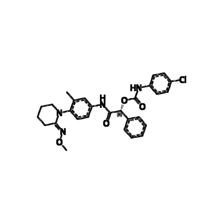 CON=C1CCCCN1c1ccc(NC(=O)[C@H](OC(=O)Nc2ccc(Cl)cc2)c2ccccc2)cc1C